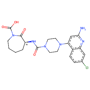 Nc1cc(N2CCN(C(=O)N[C@H]3CCCCN(C(=O)O)C3=O)CC2)c2ccc(Cl)cc2n1